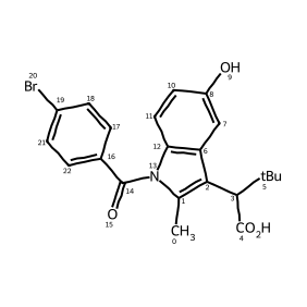 Cc1c(C(C(=O)O)C(C)(C)C)c2cc(O)ccc2n1C(=O)c1ccc(Br)cc1